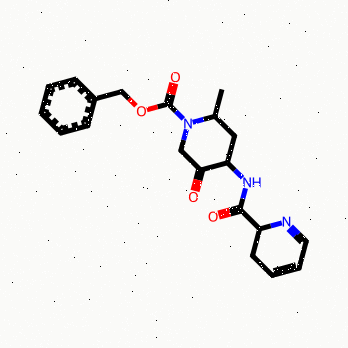 CC1CC(NC(=O)C2CC=CC=N2)C(=O)CN1C(=O)OCc1ccccc1